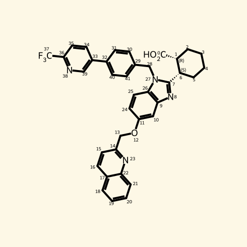 O=C(O)[C@@H]1CCCC[C@@H]1c1nc2cc(OCc3ccc4ccccc4n3)ccc2n1Cc1ccc(-c2ccc(C(F)(F)F)nc2)cc1